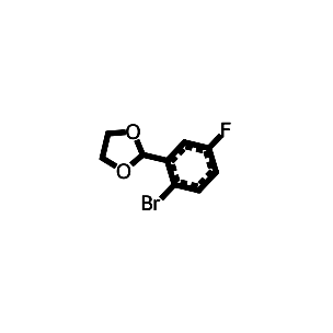 Fc1ccc(Br)c(C2OCCO2)c1